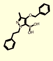 Cc1nn(CCc2ccccc2)c(B(O)O)c1OCc1ccccc1